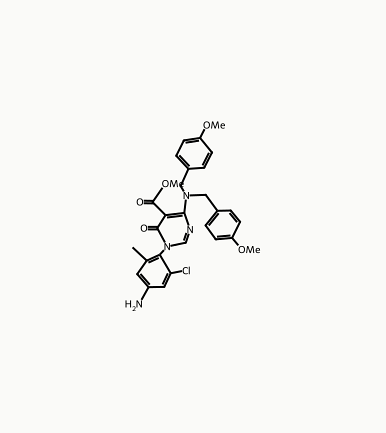 COC(=O)c1c(N(Cc2ccc(OC)cc2)Cc2ccc(OC)cc2)ncn(-c2c(C)cc(N)cc2Cl)c1=O